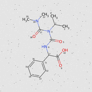 CC(C)N(C(=O)NC(C(=O)O)c1ccccc1)C(=O)N(C)C